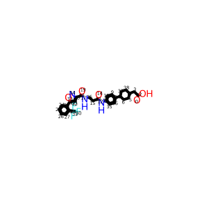 O=C(O)CC1CCC(c2ccc(NC(=O)CCNC(=O)c3cc(-c4ccccc4C(F)(F)F)on3)cc2)CC1